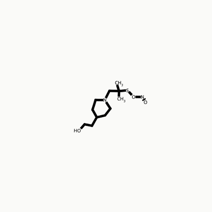 CC(C)(CN1CCC(CCO)CC1)SON=O